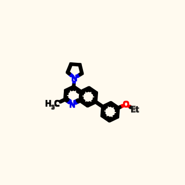 CCOc1cccc(-c2ccc3c(N4CCCC4)cc(C)nc3c2)c1